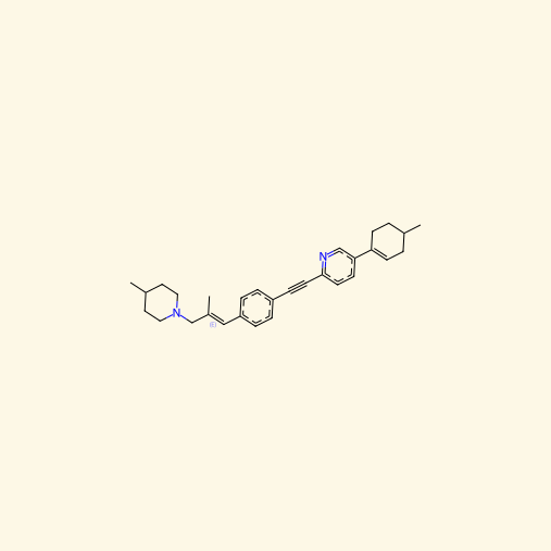 C/C(=C\c1ccc(C#Cc2ccc(C3=CCC(C)CC3)cn2)cc1)CN1CCC(C)CC1